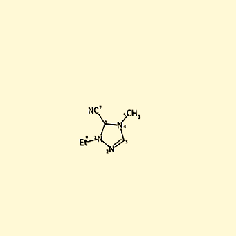 CCN1N=CN(C)C1C#N